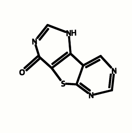 O=c1nc[nH]c2c1sc1ncncc12